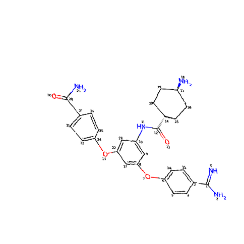 N=C(N)c1ccc(Oc2cc(NC(=O)[C@H]3CC[C@H](N)CC3)cc(Oc3ccc(C(N)=O)cc3)c2)cc1